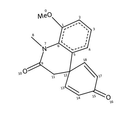 COc1cccc2c1N(C)C(=O)CC21C=CC(=O)C=C1